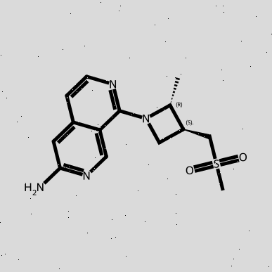 C[C@@H]1[C@@H](CS(C)(=O)=O)CN1c1nccc2cc(N)ncc12